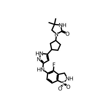 CC1(C)CN(C2CCC(c3cc(Nc4ccc5c(c4F)CNS5(=O)=O)n[nH]3)C2)C(=O)N1